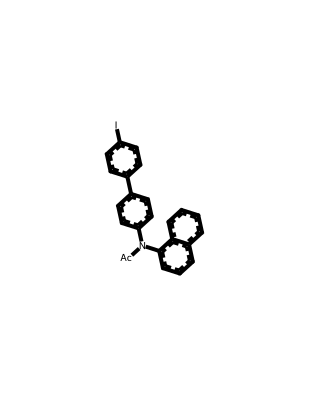 CC(=O)N(c1ccc(-c2ccc(I)cc2)cc1)c1cccc2ccccc12